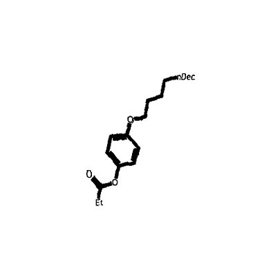 CCCCCCCCCCCCCCOc1ccc(OC(=O)CC)cc1